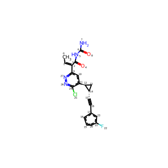 C/C=C(\C(=O)NC(N)=O)c1cc([C@H]2C[C@@H]2C#Cc2cccc(F)c2)c(Cl)nn1